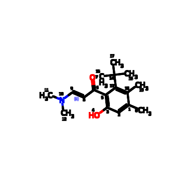 Cc1cc(O)c(C(=O)/C=C/N(C)C)c(C(C)(C)C)c1C